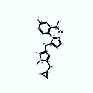 C[C@@H](O)c1cc(F)ccc1-n1nccc1Cc1cc(CC2CC2)n(C)n1